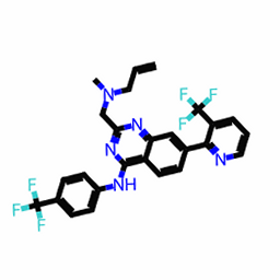 C=CCN(C)Cc1nc(Nc2ccc(C(F)(F)F)cc2)c2ccc(-c3ncccc3C(F)(F)F)cc2n1